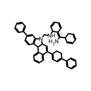 N/C(=C1/C=CC=CC1NCN1c2cc(-c3ccccc3)ccc2C2c3ccccc3C(C3=CC=C(c4ccccc4)CC3)=CC21)C1C=CC=CC1